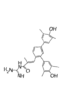 C/C(=C\c1ccc(-c2cc(C)c(O)c(C)c2)cc1-c1cc(C)c(O)c(C)c1)C(=O)NC(=N)N